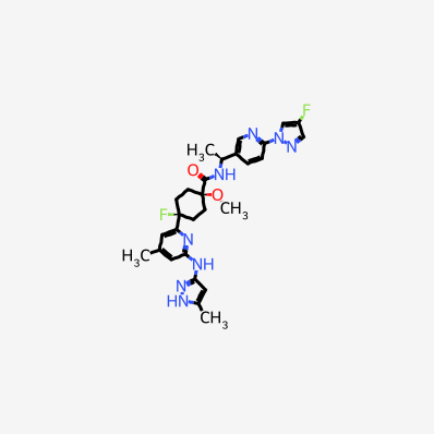 CO[C@]1(C(=O)N[C@@H](C)c2ccc(-n3cc(F)cn3)nc2)CC[C@@](F)(c2cc(C)cc(Nc3cc(C)[nH]n3)n2)CC1